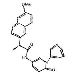 COc1ccc2cc([C@H](C)C(=O)Nc3ccc(=O)n(-c4ccccc4)c3)ccc2c1